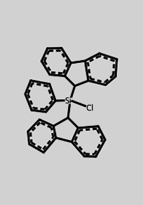 Cl[Si](c1ccccc1)(C1c2ccccc2-c2ccccc21)C1c2ccccc2-c2ccccc21